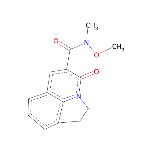 CON(C)C(=O)c1cc2cccc3c2n(c1=O)CC3